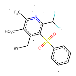 CC(C)Cc1c(C(=O)O)c(C(F)(F)F)nc(C(F)F)c1S(=O)(=O)c1ccccc1